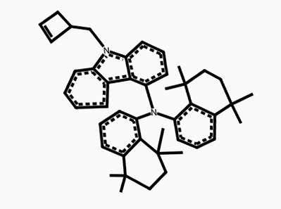 CC1(C)CCC(C)(C)c2c(N(c3cccc4c3C(C)(C)CCC4(C)C)c3cccc4c3c3ccccc3n4CC3C=CC3)cccc21